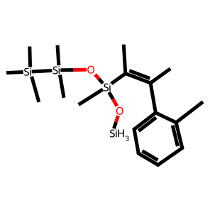 CC(=C(C)[Si](C)(O[SiH3])O[Si](C)(C)[Si](C)(C)C)c1ccccc1C